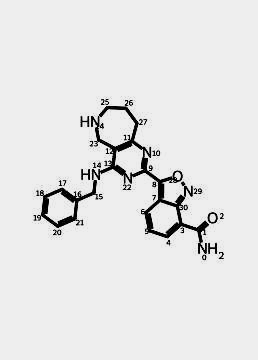 NC(=O)c1cccc2c(-c3nc4c(c(NCc5ccccc5)n3)CNCCC4)onc12